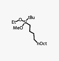 CCCCCCCCCCCC[Si](OC)(OCC)C(C)(C)C